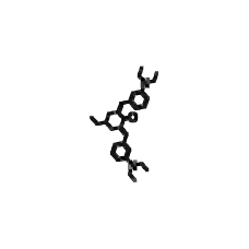 CCC1CC(=Cc2cccc(N(CC)CC)c2)C(=O)C(=Cc2cccc(N(CC)CC)c2)C1